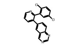 Clc1ccc(Cl)c(-c2ncccc2-c2ccc3ncncc3c2)c1